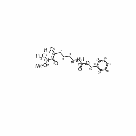 CON(C)C(=O)[C@@H](C)CCCCNC(=O)OCc1ccccc1